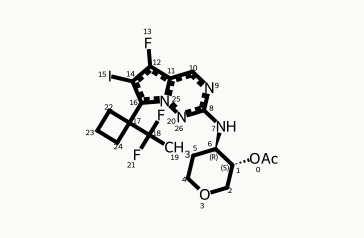 CC(=O)O[C@@H]1COCC[C@H]1Nc1ncc2c(F)c(I)c(C3(C(C)(F)F)CCC3)n2n1